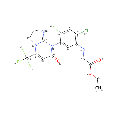 CCOC(=O)CNc1cc(N2C(=O)C=C(C(F)(F)F)N3CCN=C32)c(F)cc1Cl